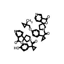 CC1(COc2ccc(C3(C(=O)N4CCC5(C4)OC(=O)c4cnccc45)CC3)cc2)CC1.O=C1OC2(CCN(C(=O)C3(c4ccc(O)cc4)CC3)C2)c2ccncc21